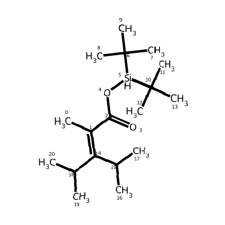 CC(C(=O)O[SiH](C(C)(C)C)C(C)(C)C)=C(C(C)C)C(C)C